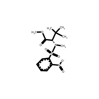 COC(=O)[C@@H](N(C)S(=O)(=O)c1ccccc1[N+](=O)[O-])C(C)(C)C